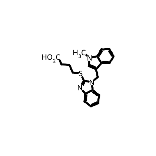 Cn1cc(Cn2c(SCCCC(=O)O)nc3ccccc32)c2ccccc21